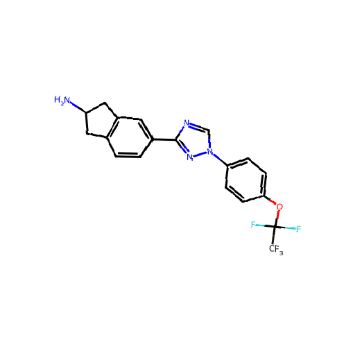 NC1Cc2ccc(-c3ncn(-c4ccc(OC(F)(F)C(F)(F)F)cc4)n3)cc2C1